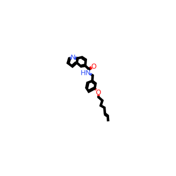 CC=CCCCCOc1cccc(CNC(=O)c2ccc3ncccc3c2)c1